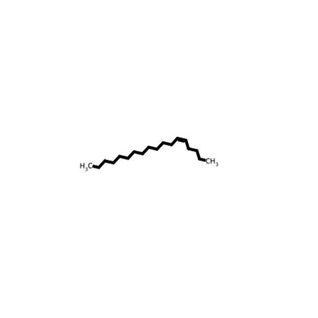 CC[CH]CCCCCCCCC/C=C\CCCC